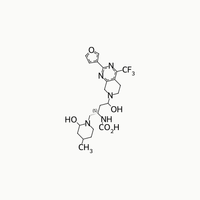 CC1CCN(C[C@H](CC(O)N2CCc3c(nc(-c4ccoc4)nc3C(F)(F)F)C2)NC(=O)O)C(O)C1